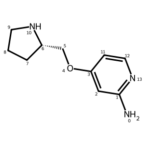 Nc1cc(OC[C@@H]2CCCN2)ccn1